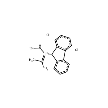 C[Si](C)=[Ti+2]([NH]C(C)(C)C)[CH]1c2ccccc2-c2ccccc21.[Cl-].[Cl-]